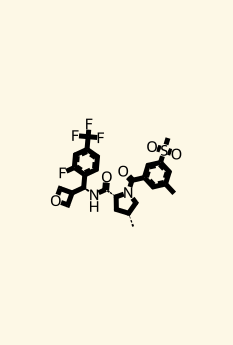 Cc1cc(C(=O)N2C[C@H](C)C[C@@H]2C(=O)N[C@@H](c2ccc(C(F)(F)F)cc2F)C2COC2)cc(S(C)(=O)=O)c1